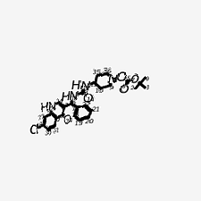 CC(C)(C)OC(=O)ON1CCC(NC(=O)NC(c2ccccc2)c2c[nH]c3cc(Cl)ccc3c2=O)CC1